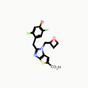 O=C(O)c1cc2c(nc(Cc3cc(F)c(Br)cc3F)n2CC2CCO2)s1